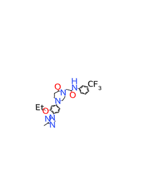 CCOc1cc(N2CCC(=O)N(CC(=O)Nc3cccc(C(F)(F)F)c3)CC2)ccc1-n1cnc(C)n1